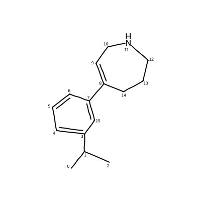 CC(C)c1cccc(C2=CCNCCC2)c1